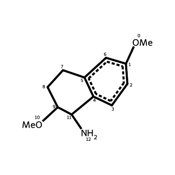 COc1ccc2c(c1)CCC(OC)C2N